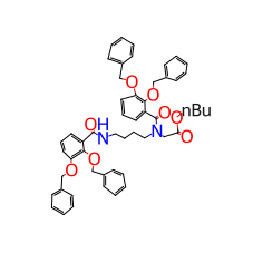 CCCCOC(=O)CN(CCCCNC(=O)c1cccc(OCc2ccccc2)c1OCc1ccccc1)C(=O)c1cccc(OCc2ccccc2)c1OCc1ccccc1